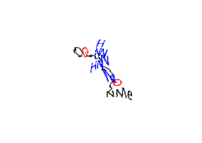 CNC/C=C/C(=O)N1CCC(Nc2ncnc3[nH]c(C#CCOc4ccccc4)cc23)C1